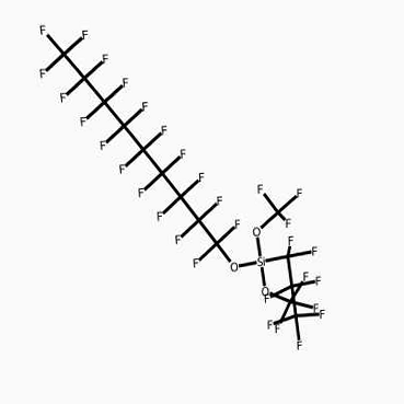 FC(F)(F)O[Si](OC(F)(F)F)(OC(F)(F)C(F)(F)C(F)(F)C(F)(F)C(F)(F)C(F)(F)C(F)(F)C(F)(F)C(F)(F)F)C(F)(F)C(F)(F)C(F)(F)F